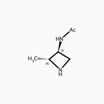 CC(=O)N[C@H]1CN[C@@H]1C